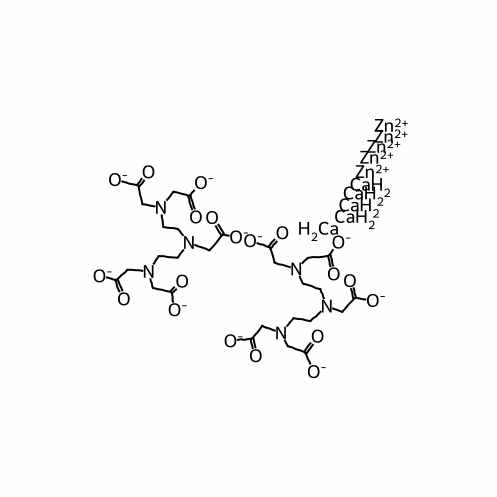 O=C([O-])CN(CCN(CC(=O)[O-])CC(=O)[O-])CCN(CC(=O)[O-])CC(=O)[O-].O=C([O-])CN(CCN(CC(=O)[O-])CC(=O)[O-])CCN(CC(=O)[O-])CC(=O)[O-].[CaH2].[CaH2].[CaH2].[CaH2].[CaH2].[Zn+2].[Zn+2].[Zn+2].[Zn+2].[Zn+2]